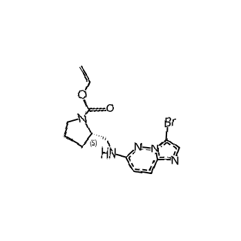 C=COC(=O)N1CCC[C@H]1CNc1ccc2ncc(Br)n2n1